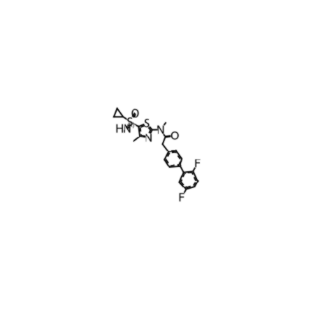 Cc1nc(N(C)C(=O)Cc2ccc(-c3cc(F)ccc3F)cc2)sc1[S@](=N)(=O)C1CC1